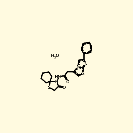 O.O=C(Cc1csc2nc(-c3ccccc3)cn12)NN1C(=O)CSC12CCCCC2